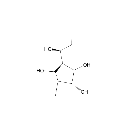 CC[C@H](O)[C@@H]1C(O)C(C)[C@@H](O)C1O